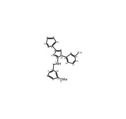 COc1cccc(CNc2nc(-c3ccccc3)cn2-c2cccc(F)c2)c1